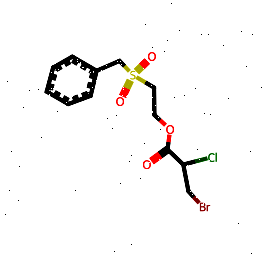 O=C(OCCS(=O)(=O)Cc1ccccc1)C(Cl)CBr